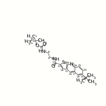 CC(C)(C)OC(=O)NCCNC(=O)c1cc2cc3cc(C(C)(C)C)ccc3nc2s1